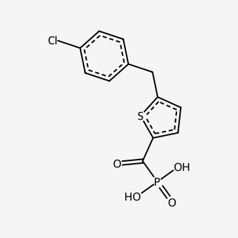 O=C(c1ccc(Cc2ccc(Cl)cc2)s1)P(=O)(O)O